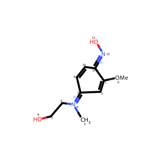 COC1=CC(=[N+](\C)CCO)/C=CC/1=N\O